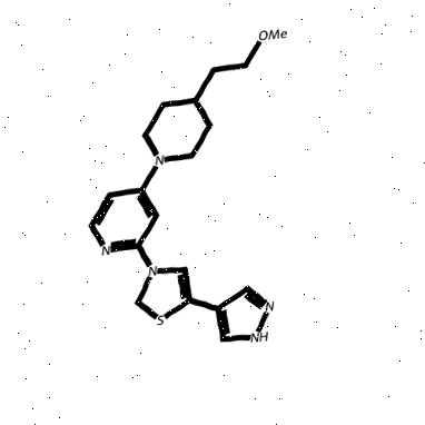 COCCC1CCN(c2ccnc(N3C=C(c4cn[nH]c4)SC3)c2)CC1